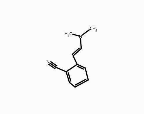 CN(C)/C=C/c1ccccc1C#N